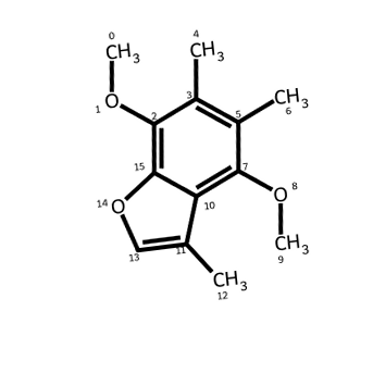 COc1c(C)c(C)c(OC)c2c(C)coc12